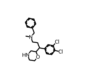 CN(CCC(c1ccc(Cl)c(Cl)c1)C1CNCCO1)Cc1ccccc1